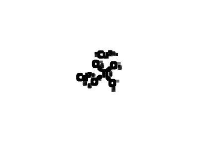 [Cd+2].[Cu+2].[O-][Ti]([O-])([O-])[O-]